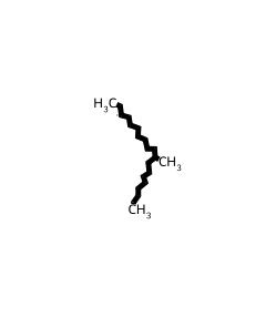 CC[CH]CCCCCCCC(C)CCCCCCCC